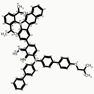 CC(C)COc1ccc(-c2ccc(N(C3=CC=C(c4ccc5c(c4)c4cc6ccccc6cc4n5-c4c(C(C)C)cccc4C(C)C)/C(=N/S)C3=N)c3ccc(-c4ccccc4)cc3)cc2)cc1